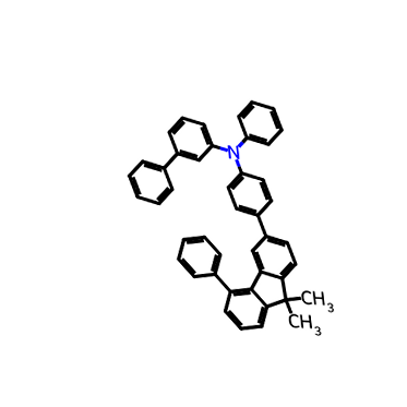 CC1(C)c2ccc(-c3ccc(N(c4ccccc4)c4cccc(-c5ccccc5)c4)cc3)cc2-c2c(-c3ccccc3)cccc21